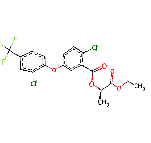 CCOC(=O)[C@@H](C)OC(=O)c1cc(Oc2ccc(C(F)(F)F)cc2Cl)ccc1Cl